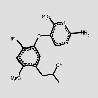 COc1cc(C(C)C)c(Oc2cnc(N)nc2N)cc1CC(C)O